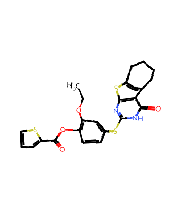 CCOc1cc(Sc2nc3sc4c(c3c(=O)[nH]2)CCCC4)ccc1OC(=O)c1cccs1